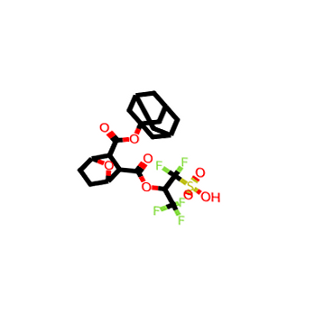 O=C(OC(C(F)(F)F)C(F)(F)S(=O)(=O)O)C1C2CCC(O2)C1C(=O)OC12CC3CC(CC(C3)C1)C2